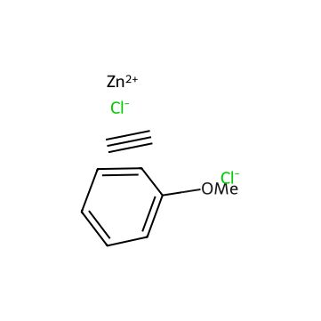 C#C.COc1ccccc1.[Cl-].[Cl-].[Zn+2]